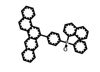 O=P(c1ccccc1)(c1ccc(-c2cc3c4ccccc4ccc3c3cc4ccccc4cc23)cc1)c1cccc2ccccc12